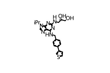 CC(C)n1cnc2c(NCc3ccc(-c4ccsc4)cc3)nc(NC[C@H](O)CO)nc21